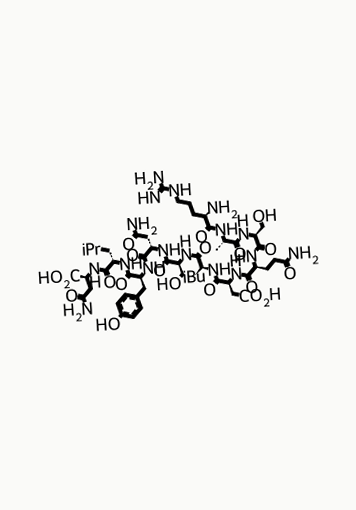 CC[C@H](C)[C@H](NC(=O)[C@H](CC(=O)O)NC(=O)[C@H](CCC(N)=O)NC(=O)[C@H](CO)NC(=O)[C@H](C)NC(=O)[C@@H](N)CCCNC(=N)N)C(=O)N[C@@H](CO)C(=O)N[C@@H](CC(N)=O)C(=O)N[C@@H](Cc1ccc(O)cc1)C(=O)N[C@@H](CC(C)C)C(=O)N[C@@H](CC(N)=O)C(=O)O